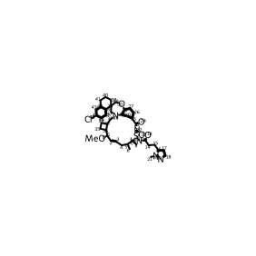 COC1/C=C/CC(C)C(C)S(=O)(NC(=O)CCc2ccnn2C)=NC(=O)c2ccc3c(c2)N(CC2CCC21)CC1(CCCc2cc(Cl)ccc21)CO3